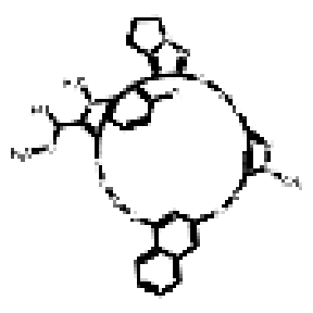 COC(O)c1c2c3ccc(Cl)c(c3n1C)-c1c(nn3c1CCC3)CSCc1cc(n(C)n1)CSc1cc(c3ccccc3c1)OCCC2